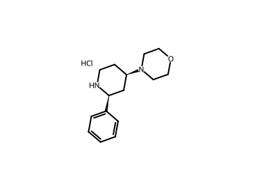 Cl.c1ccc([C@@H]2C[C@H](N3CCOCC3)CCN2)cc1